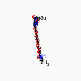 C[C@H]1CCN(C(=O)NCCOCCOCCOCCOCCOCCOCCOCCn2cc(CN3C(=O)C=C(C(C)(C)C)C3=O)nn2)C1